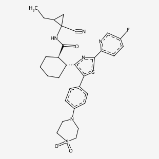 CCC1CC1(C#N)NC(=O)[C@@H]1CCCC[C@H]1c1nc(-c2ccc(F)cn2)sc1-c1ccc(N2CCS(=O)(=O)CC2)cc1